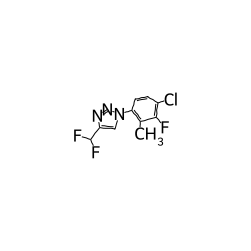 Cc1c(-n2cc(C(F)F)nn2)ccc(Cl)c1F